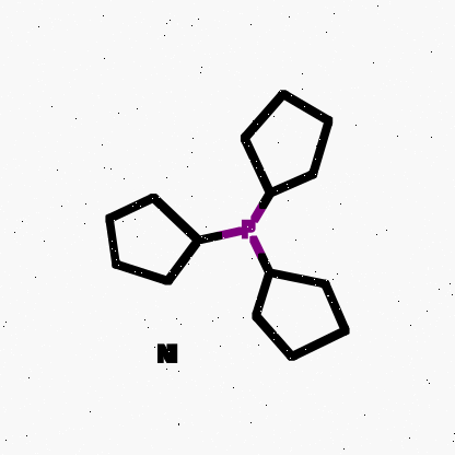 C1CCC(P(C2CCCC2)C2CCCC2)C1.[Ni]